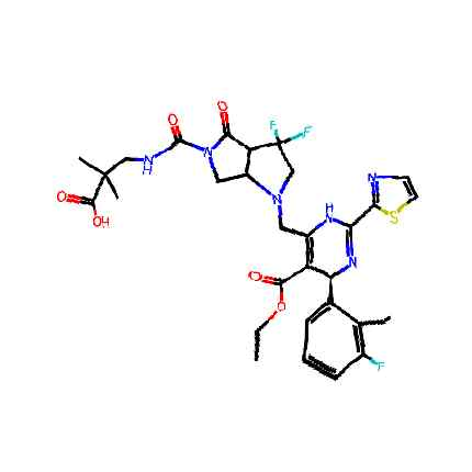 CCOC(=O)C1=C(CN2CC(F)(F)C3C(=O)N(C(=O)NCC(C)(C)C(=O)O)CC32)NC(c2nccs2)=N[C@H]1c1cccc(F)c1C